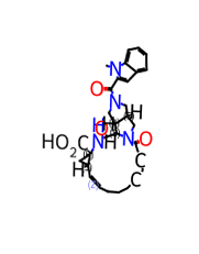 Cn1c(C(=O)N2C[C@H]3CN4C(=O)CCCCCC/C=C\[C@@H]5C[C@@]5(C(=O)O)NC(=O)[C@@H]4[C@H]3C2)cc2ccccc21